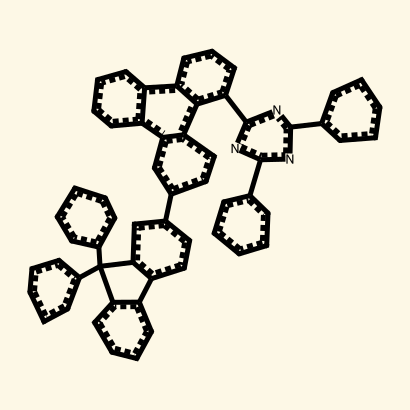 c1ccc(-c2nc(-c3ccccc3)nc(-c3cccc4c5ccccc5c5cc(-c6ccc7c(c6)C(c6ccccc6)(c6ccccc6)c6ccccc6-7)ccc5c34)n2)cc1